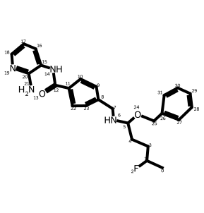 CC(F)CCC(NCc1ccc(C(=O)Nc2cccnc2N)cc1)OCc1ccccc1